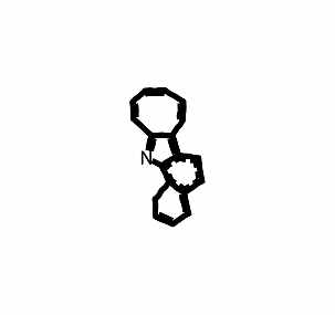 C1=CCc2c3c(ccc2=C1)=C1\C=C/C=C\C=C/C1=N3